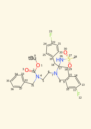 CC(C)(C)OC(=O)N(CCN1Cc2cc(F)ccc2CC1(Cc1ccc(F)cc1)NS(C)(=O)=O)Cc1ccccc1